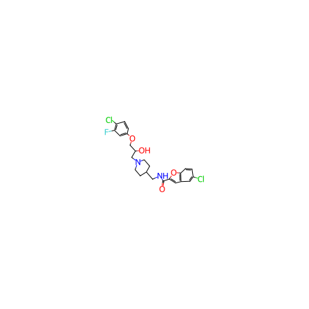 O=C(NCC1CCN(CC(O)COc2ccc(Cl)c(F)c2)CC1)c1cc2cc(Cl)ccc2o1